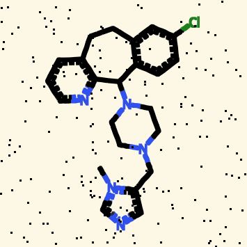 Cn1cncc1CN1CCN(C2c3ccc(Cl)cc3CCc3cccnc32)CC1